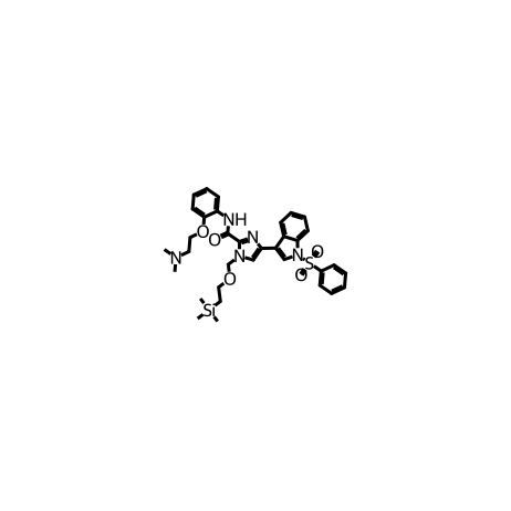 CN(C)CCOc1ccccc1NC(=O)c1nc(-c2cn(S(=O)(=O)c3ccccc3)c3ccccc23)cn1COCC[Si](C)(C)C